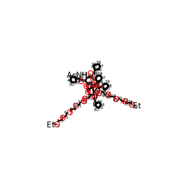 CCOCCOCCOCCOCCOOCC1OC(OC2C(COCc3ccccc3)OC(OCc3ccccc3)C(NC(C)=O)C2OCc2ccccc2)C(OCc2ccccc2)C(OOCCOCCOCCOCCOCC)C1OCc1ccccc1